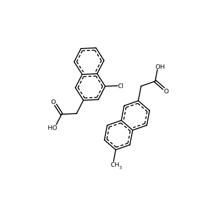 Cc1ccc2cc(CC(=O)O)ccc2c1.O=C(O)Cc1cc(Cl)c2ccccc2c1